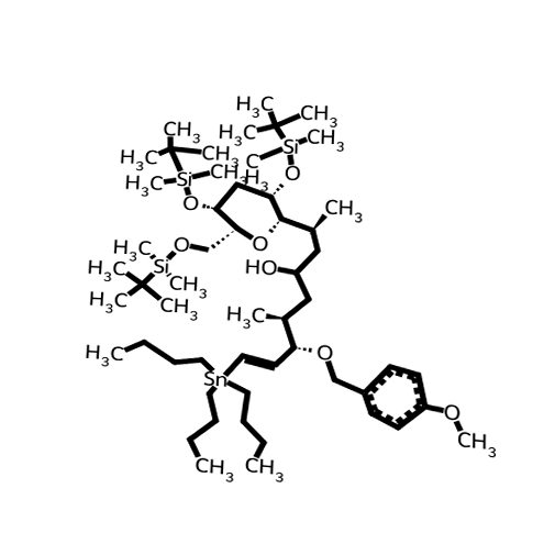 CCC[CH2][Sn](/[CH]=C/[C@@H](OCc1ccc(OC)cc1)[C@@H](C)CC(O)C[C@H](C)[C@@H]1O[C@H](CO[Si](C)(C)C(C)(C)C)[C@H](O[Si](C)(C)C(C)(C)C)C[C@@H]1O[Si](C)(C)C(C)(C)C)([CH2]CCC)[CH2]CCC